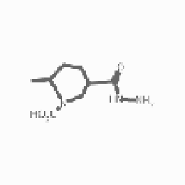 CC1CCC(C(=O)NN)CN1C(=O)O